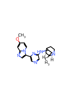 COc1ccn2c(-c3cncc(N[C@H]4C5CCN(CC5)[C@H]4C)n3)cnc2c1